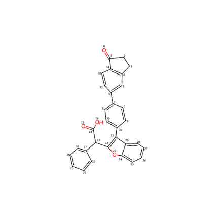 O=C1CCc2cc(-c3ccc(-c4c(C(C(=O)O)c5ccccc5)oc5ccccc45)cc3)ccc21